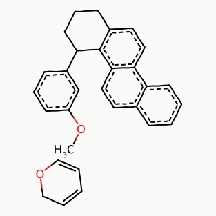 C1=CCOC=C1.COc1cccc(C2CCCc3ccc4c(ccc5ccccc54)c32)c1